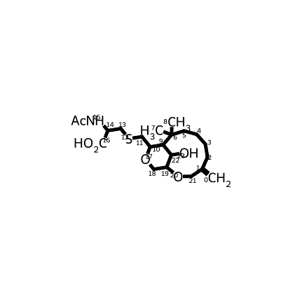 C=C1CCCCC(C)(C)C2C(CSCC(NC(C)=O)C(=O)O)OCC(OC1)C2O